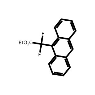 CCOC(=O)C(F)(F)c1c2ccccc2cc2ccccc12